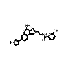 Cc1cccc(C(=O)NCCn2cc3c(n2)c(N)nc2cc(-c4cc[nH]n4)ccc23)n1